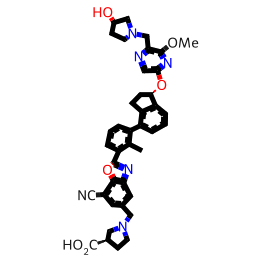 COc1nc(O[C@H]2CCc3c(-c4cccc(-c5nc6cc(CN7CC[C@@H](C(=O)O)C7)cc(C#N)c6o5)c4C)cccc32)cnc1CN1CCC(O)C1